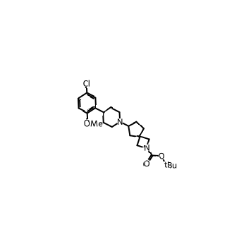 COc1ccc(Cl)cc1C1CCN(C2CCC3(C2)CN(C(=O)OC(C)(C)C)C3)CC1